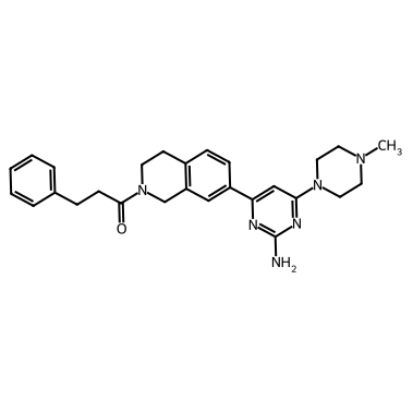 CN1CCN(c2cc(-c3ccc4c(c3)CN(C(=O)CCc3ccccc3)CC4)nc(N)n2)CC1